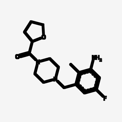 Cc1c(N)cc(F)cc1CN1CCN(C(=O)C2CCCO2)CC1